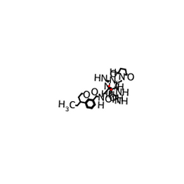 CCC1CCOc2c(C(=O)NC3CN4C(=N)N[C@@H](CN5C(=O)CCC5=O)[C@@H]5NC(=N)NC54C3(O)O)cccc21